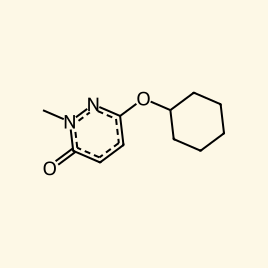 Cn1nc(OC2CCCCC2)ccc1=O